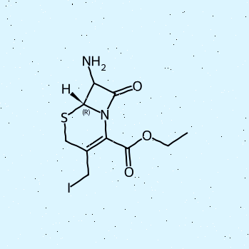 CCOC(=O)C1=C(CI)CS[C@@H]2C(N)C(=O)N12